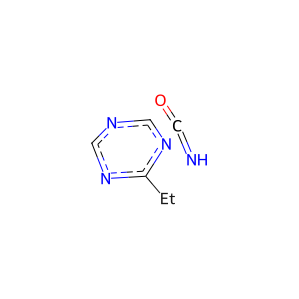 CCc1ncncn1.N=C=O